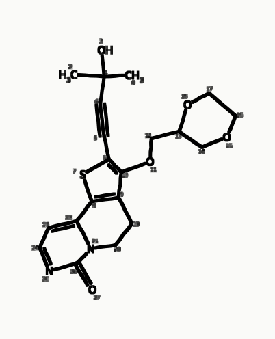 CC(C)(O)C#Cc1sc2c(c1OCC1COCCO1)CCn1c-2ccnc1=O